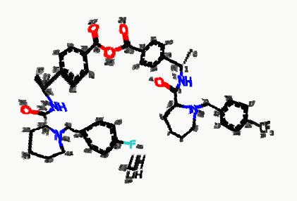 C[C@H](NC(=O)C1CCCCN1Cc1ccc(C(F)(F)F)cc1)c1ccc(C(=O)OC(=O)c2ccc([C@H](C)NC(=O)[C@H]3CCCCN3Cc3ccc(F)cc3)cc2)cc1.[LiH].[LiH]